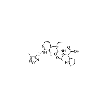 CC[C@@H](C(=O)N[C@H](C(C)=O)C(C(=O)O)C1CCCN1)n1ccnc(NCc2nonc2C)c1=O